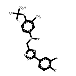 Cc1cc([S+]([O-])Cc2nc(-c3ccc(Cl)c(Cl)c3)ns2)ccc1OC(C)(C)C(=O)O